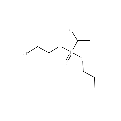 CC(O)P(=O)(OCCCl)OCCCl